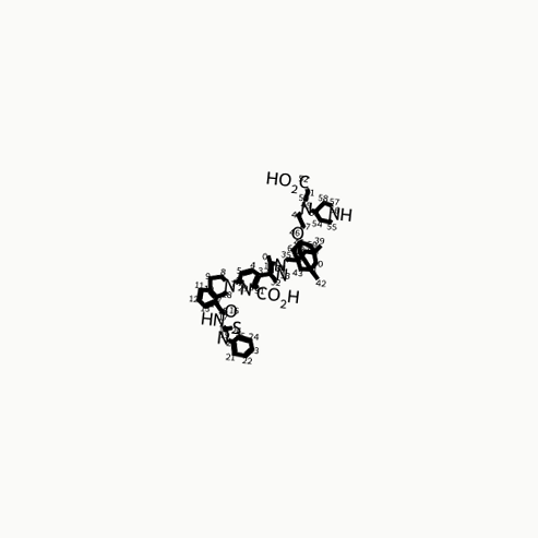 Cc1c(-c2ccc(N3CCc4cccc(C(=O)Nc5nc6ccccc6s5)c4C3)nc2C(=O)O)cnn1CC12CC3(C)CC(C)(C1)CC(OCCN(CCC(=O)O)C1CCNCC1)(C3)C2